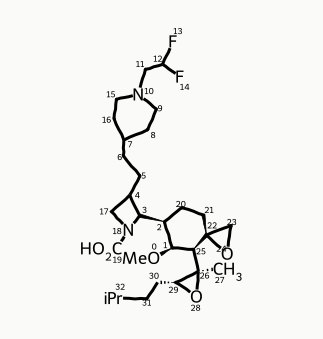 CO[C@H]1[C@@H](C2C(CCC3CCN(CC(F)F)CC3)CN2C(=O)O)CC[C@]2(CO2)[C@H]1[C@@]1(C)O[C@@H]1CCC(C)C